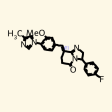 COc1cc(/C=C2\CCC(=O)N3C2=NCC3c2ccc(F)cc2)ccc1-n1cnc(C)c1